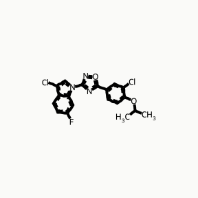 CC(C)Oc1ccc(-c2nc(-n3cc(Cl)c4ccc(F)cc43)no2)cc1Cl